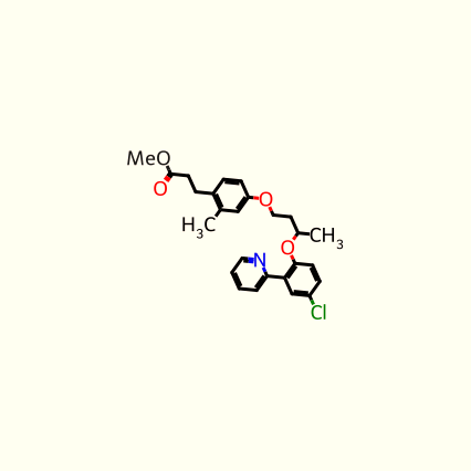 COC(=O)CCc1ccc(OCCC(C)Oc2ccc(Cl)cc2-c2ccccn2)cc1C